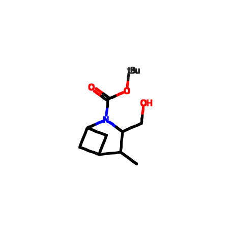 CC1C2CC(C2)N(C(=O)OC(C)(C)C)C1CO